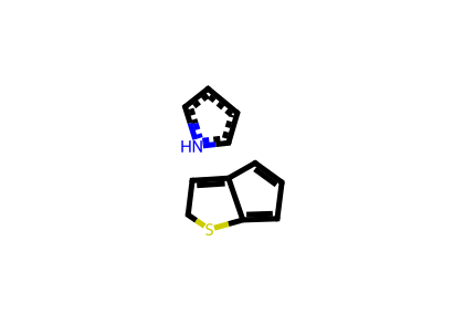 C1=CC2=CCSC2=C1.c1cc[nH]c1